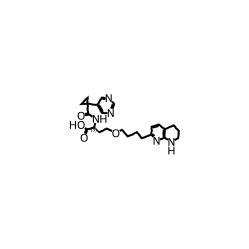 O=C(O)[C@H](CCOCCCCc1ccc2c(n1)NCCC2)NC(=O)C1(c2cncnc2)CC1